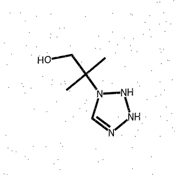 CC(C)(CO)N1C=NNN1